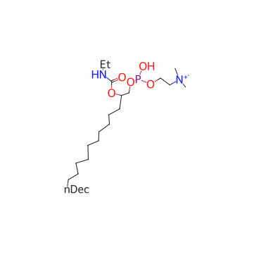 CCCCCCCCCCCCCCCCCCCCC(COP(O)OCC[N+](C)(C)C)OC(=O)NCC